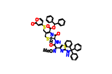 CO/N=C(\C(=O)N[C@@H]1C(=O)N2C(C(=O)OC(c3ccccc3)c3ccccc3)=C(CSc3ccoc(=O)c3)CS[C@@H]12)c1csc(NC(c2ccccc2)(c2ccccc2)c2ccccc2)n1